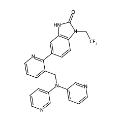 O=c1[nH]c2cc(-c3ncccc3CN(c3cccnc3)c3cccnc3)ccc2n1CC(F)(F)F